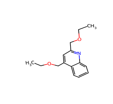 CCOCc1cc(COCC)c2ccccc2n1